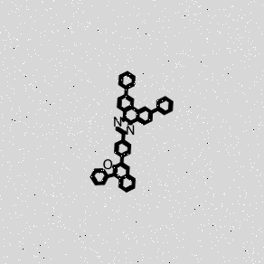 c1ccc(-c2ccc3c(c2)c2cc(-c4ccccc4)ccc2c2nc(-c4ccc(-c5cc6ccccc6c6c5oc5ccccc56)cc4)cnc32)cc1